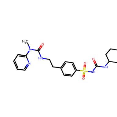 CN(C(=O)NCCc1ccc(S(=O)(=O)NC(=O)NC2CCCCC2)cc1)c1ccccn1